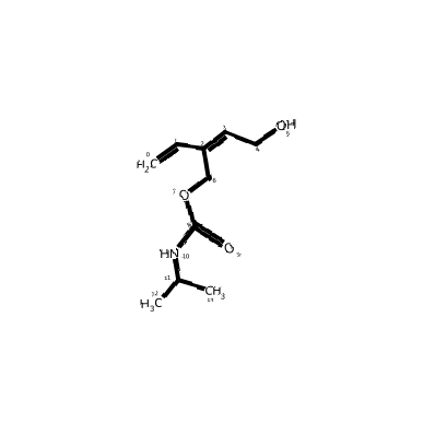 C=C/C(=C/CO)COC(=O)NC(C)C